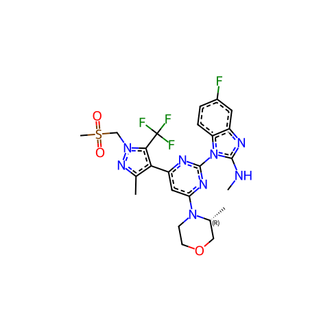 CNc1nc2cc(F)ccc2n1-c1nc(-c2c(C)nn(CS(C)(=O)=O)c2C(F)(F)F)cc(N2CCOC[C@H]2C)n1